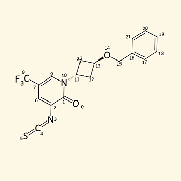 O=c1c(N=C=S)cc(C(F)(F)F)cn1[C@H]1C[C@H](OCc2ccccc2)C1